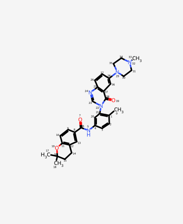 Cc1ccc(NC(=O)c2ccc3c(c2)CCC(C)(C)O3)cc1-n1cnc2ccc(N3CCN(C)CC3)cc2c1=O